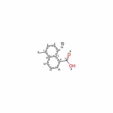 Cc1cccc2c(C(=O)O)cccc12.[Tl]